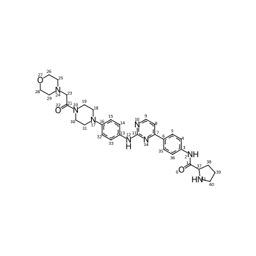 O=C(Nc1ccc(-c2ccnc(Nc3ccc(N4CCN(C(=O)CN5CCOCC5)CC4)cc3)n2)cc1)C1CCCN1